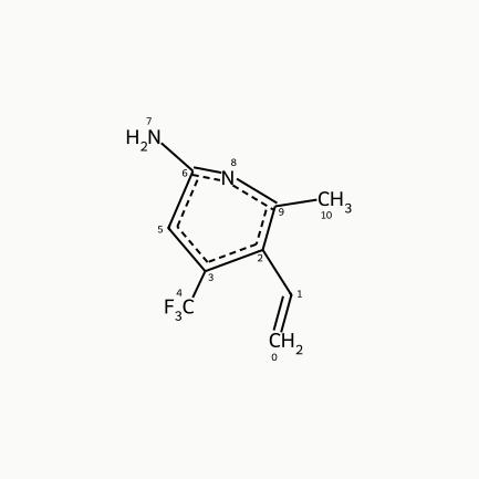 C=Cc1c(C(F)(F)F)cc(N)nc1C